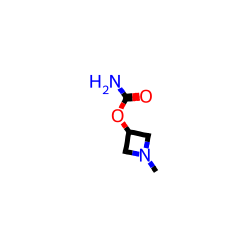 CN1CC(OC(N)=O)C1